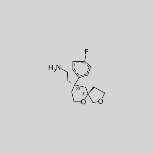 NCC[C@@]1(c2ccc(F)cc2)CCO[C@]2(CCOC2)C1